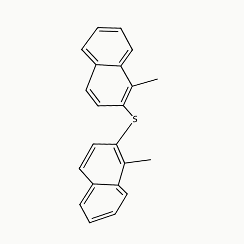 Cc1c(Sc2ccc3ccccc3c2C)ccc2ccccc12